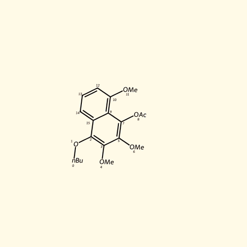 CCCCOc1c(OC)c(OC)c(OC(C)=O)c2c(OC)cccc12